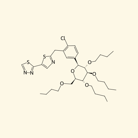 CCCCOC[C@H]1O[C@@H](c2ccc(Cl)c(Cc3ncc(-c4nncs4)s3)c2)[C@H](OCCCC)[C@@H](OCCCC)[C@@H]1OCCCC